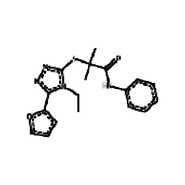 CCn1c(SC(C)(C)C(=O)Nc2ccccc2)nnc1-c1ccco1